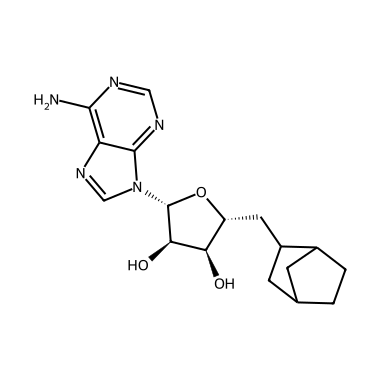 Nc1ncnc2c1ncn2[C@@H]1O[C@H](CC2CC3CCC2C3)[C@@H](O)[C@H]1O